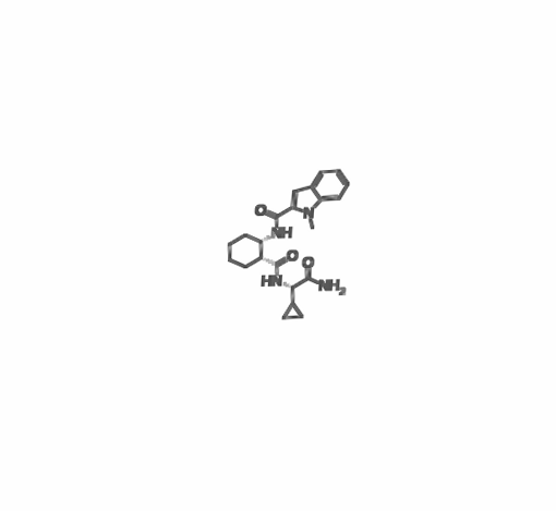 Cn1c(C(=O)N[C@H]2CCCC[C@H]2C(=O)N[C@H](C(N)=O)C2CC2)cc2ccccc21